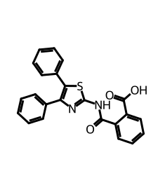 O=C(O)c1ccccc1C(=O)Nc1nc(-c2ccccc2)c(-c2ccccc2)s1